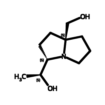 C[C@H](O)[C@@H]1CC[C@]2(CO)CCCN12